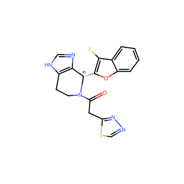 O=C(Cc1nncs1)N1CCc2[nH]cnc2[C@@H]1c1oc2ccccc2c1F